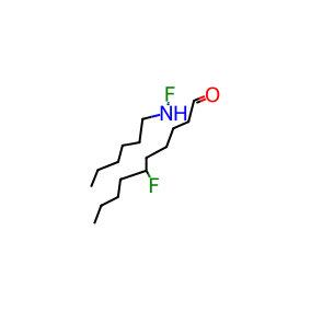 CCCCC(F)CCCCC=O.CCCCCCNF